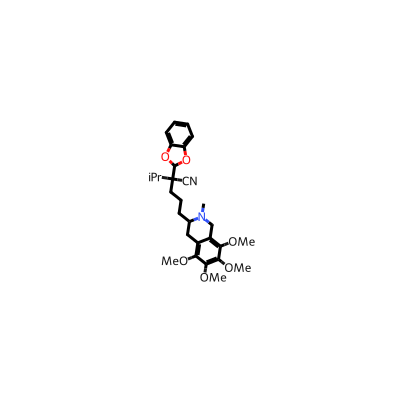 COc1c2c(c(OC)c(OC)c1OC)CN(C)C(CCCC(C#N)(C(C)C)C1Oc3ccccc3O1)C2